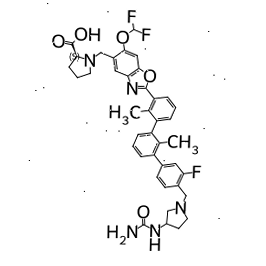 Cc1c(-c2ccc(CN3CCC(NC(N)=O)C3)c(F)c2)cccc1-c1cccc(-c2nc3cc(CN4CCC[C@H]4C(=O)O)c(OC(F)F)cc3o2)c1C